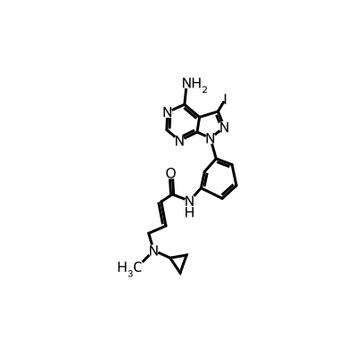 CN(C/C=C/C(=O)Nc1cccc(-n2nc(I)c3c(N)ncnc32)c1)C1CC1